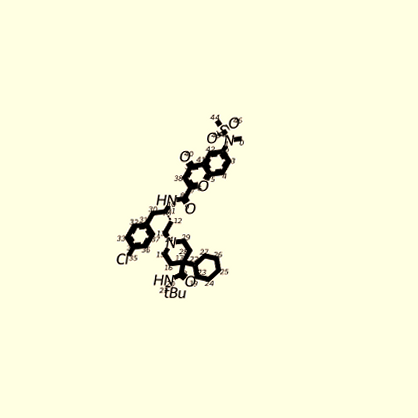 CN(c1ccc2oc(C(=O)N[C@H](CCN3CCC(C(=O)NC(C)(C)C)(C4CCCCC4)CC3)Cc3ccc(Cl)cc3)cc(=O)c2c1)S(C)(=O)=O